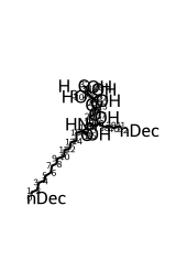 CCCCCCCCCCCCCCCCCCCCCCCCCC(=O)N[C@@H](CO[C@H](CO)OC(CO)[C@H](O)C(C)O)[C@H](O)[C@H](O)CCCCCCCCCCCCCC